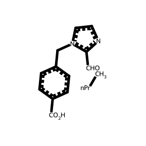 CCCC.O=Cc1nccn1Cc1ccc(C(=O)O)cc1